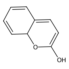 OC1=CC=C2C=CC=CC2O1